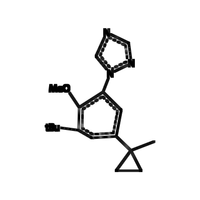 COc1c(-n2cncn2)cc(C2(C)CC2)cc1C(C)(C)C